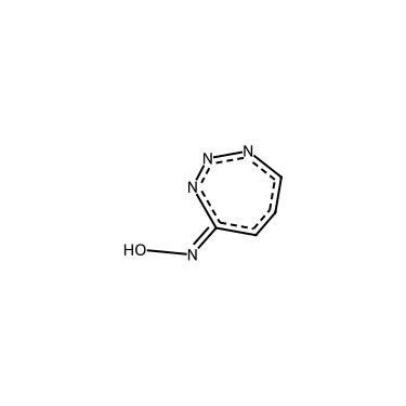 ON=c1cccnnn1